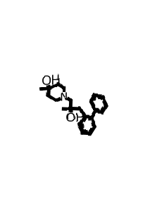 CC1(O)CCN(CC(C)(O)Cc2ccccc2-c2ccccc2)CC1